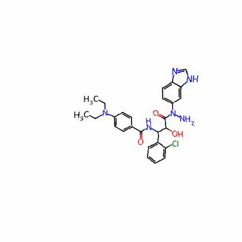 CCN(CC)c1ccc(C(=O)NC(c2ccccc2Cl)C(O)C(=O)N(N)c2ccc3nc[nH]c3c2)cc1